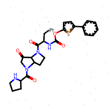 CC(C)CC(NC(=O)Oc1ccc(-c2ccccc2)s1)C(=O)N1CCC2C1C(=O)CN2C(=O)C1CCCN1